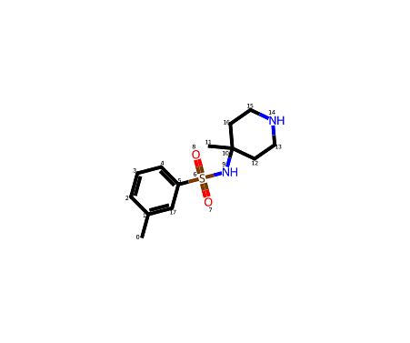 Cc1cccc(S(=O)(=O)NC2(C)CCNCC2)c1